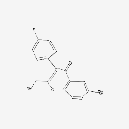 O=c1c(-c2ccc(F)cc2)c(CBr)oc2ccc(Br)cc12